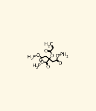 C=CC(=O)OC(CC(=O)OP)(CC(=O)OP)C(=O)OP